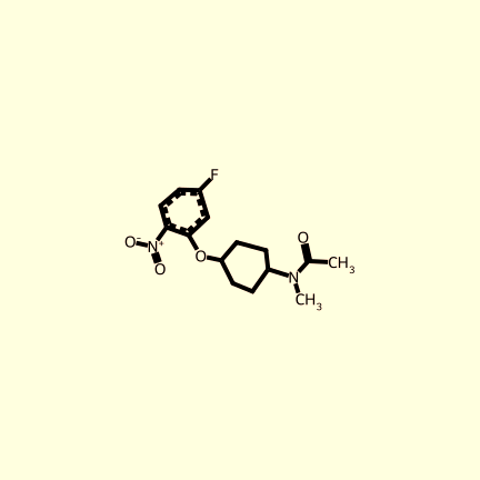 CC(=O)N(C)C1CCC(Oc2cc(F)ccc2[N+](=O)[O-])CC1